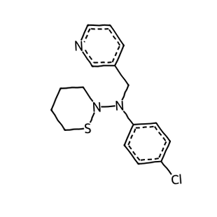 Clc1ccc(N(Cc2cccnc2)N2CCCCS2)cc1